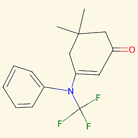 CC1(C)CC(=O)C=C(N(c2ccccc2)C(F)(F)F)C1